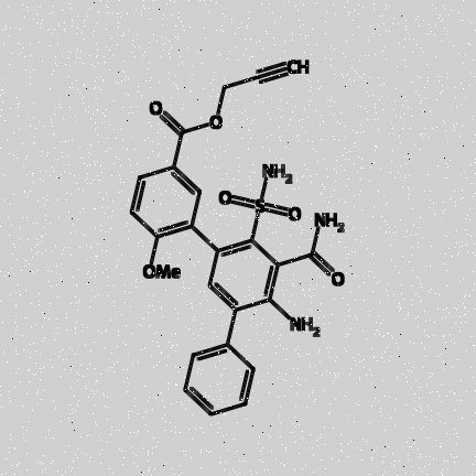 C#CCOC(=O)c1ccc(OC)c(-c2cc(-c3ccccc3)c(N)c(C(N)=O)c2S(N)(=O)=O)c1